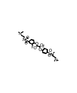 CN(C)CCN(C)S(=O)(=O)c1ccc(OC(=O)C(=O)Oc2ccc(S(=O)(=O)N(C)CCN(C)C)cc2F)c(F)c1